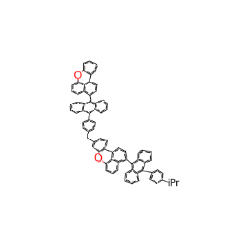 CC(C)c1ccc(-c2c3ccccc3c(-c3ccc4c5c(cccc35)Oc3cc(Cc5ccc(-c6c7ccccc7c(-c7ccc8c9c(cccc79)Oc7ccccc7-8)c7ccccc67)cc5)ccc3-4)c3ccccc23)cc1